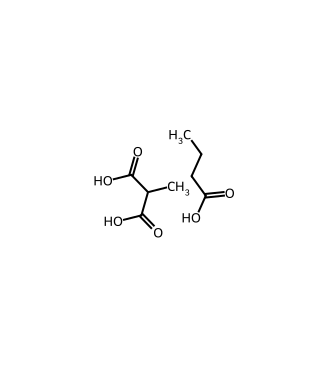 CC(C(=O)O)C(=O)O.CCCC(=O)O